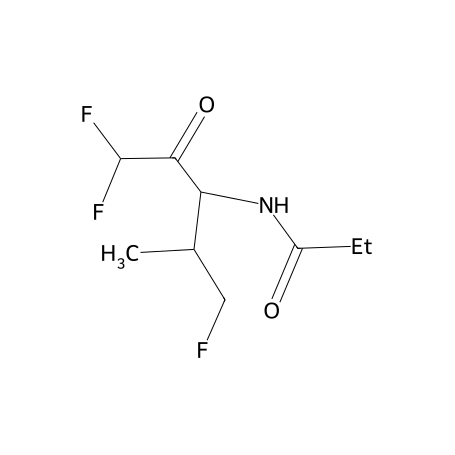 CCC(=O)NC(C(=O)C(F)F)C(C)CF